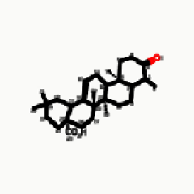 CC1C(=O)CC[C@@]2(C)C1CC[C@]1(C)C2CC=C2C3CC(C)(C)CC[C@]3(C(=O)O)CC[C@]21C